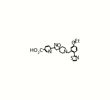 CCOc1ccc(-c2nccs2)c(CN2CCC3(CC2)CC(c2ccc(C(=O)O)cn2)=NO3)c1